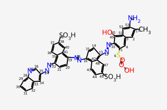 Cc1cc2cc(SOOO)c(/N=N/c3ccc(/N=N/c4ccc(/N=N/c5cnc6ccccc6c5)c5ccc(S(=O)(=O)O)cc45)c4ccc(S(=O)(=O)O)cc34)c(O)c2cc1N